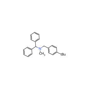 CN(Cc1ccc(C(C)(C)C)cc1)C(c1ccccc1)c1ccccc1